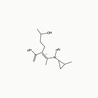 C=C(CCC)/C(CCC(C)O)=C(\C)N(CCC)C1CC1C